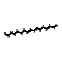 [CH2]CC=CCC=CCC=CCCCCCCC